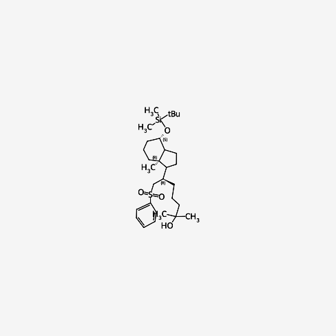 CC(C)(O)CCC[C@@H](CS(=O)(=O)c1ccccc1)C1CCC2[C@@H](O[Si](C)(C)C(C)(C)C)CCC[C@]12C